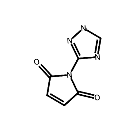 O=C1C=CC(=O)N1C1=N[N]C=N1